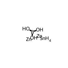 OB(O)O.[SnH4].[Zn].[Zn]